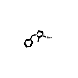 CCCCCC[n+]1ccn(Cc2ccccc2)c1C